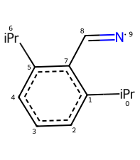 CC(C)c1cccc(C(C)C)c1C=[N]